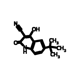 CC(C)(C)c1ccc2[nH]c(=O)c(C#N)c(O)c2c1